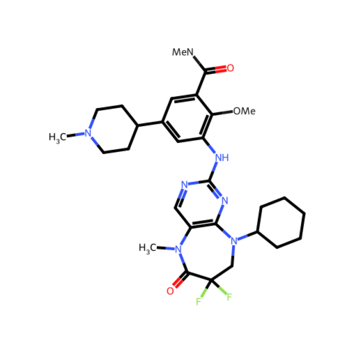 CNC(=O)c1cc(C2CCN(C)CC2)cc(Nc2ncc3c(n2)N(C2CCCCC2)CC(F)(F)C(=O)N3C)c1OC